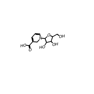 O=C(O)C1=CC=CN(C2OC(CO)C(O)C2O)C1